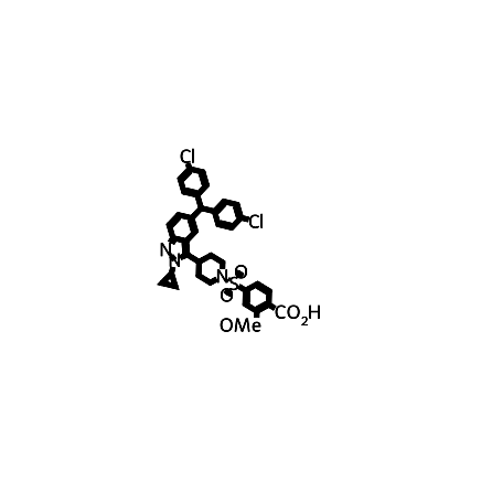 COc1cc(S(=O)(=O)N2CCC(c3c4cc(C(c5ccc(Cl)cc5)c5ccc(Cl)cc5)ccc4nn3C3CC3)CC2)ccc1C(=O)O